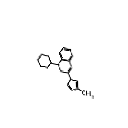 CC1=CC(C2=Cc3ccccc3C(C3CCCCC3)C2)C=C1